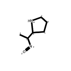 CC(N=O)C1CCCN1